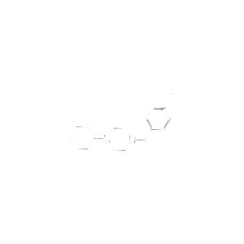 Fc1ccc(CN2CCN(C3CCCCC3)CC2)cc1